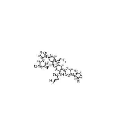 C=CC(=O)Nc1cc(Nc2cc(N3OCC[C@@H]3c3cc(F)cc(Cl)c3)ncn2)c(OC)cc1N1CCC(N2C[C@H]3C[C@@H]2CO3)CC1